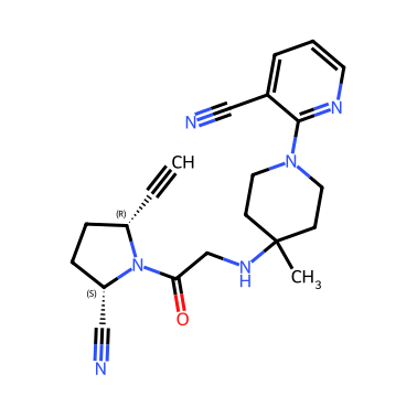 C#C[C@H]1CC[C@@H](C#N)N1C(=O)CNC1(C)CCN(c2ncccc2C#N)CC1